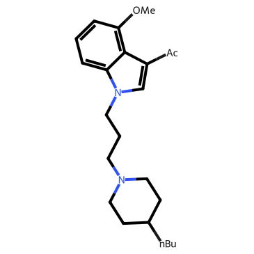 CCCCC1CCN(CCCn2cc(C(C)=O)c3c(OC)cccc32)CC1